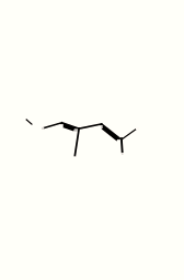 CCO/C=C(\C)C=C(C(=O)OCC)C(=O)OCC